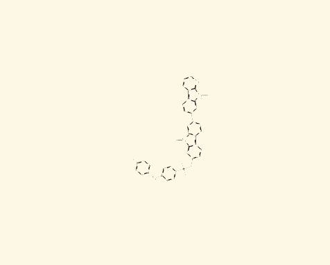 CC(C)(C)c1ccc(N(I)c2ccc(C(C)(C)Cc3ccc4c5ccc(-c6ccc7c8cccnc8n(I)c7c6)cc5n(I)c4c3)cc2)cc1